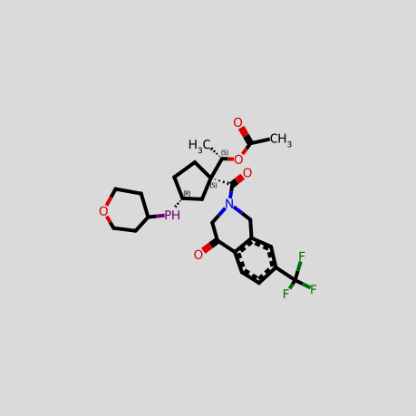 CC(=O)O[C@@H](C)[C@]1(C(=O)N2CC(=O)c3ccc(C(F)(F)F)cc3C2)CC[C@@H](PC2CCOCC2)C1